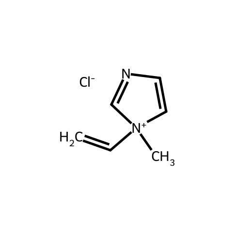 C=C[N+]1(C)C=CN=C1.[Cl-]